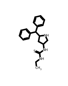 CCNC(=S)NC1CNC(C(c2ccccc2)c2ccccc2)C1